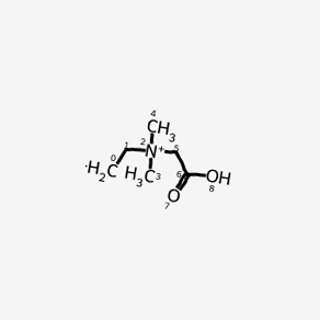 [CH2]C[N+](C)(C)CC(=O)O